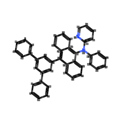 c1ccc(-c2cc(-c3ccccc3)cc(-c3c4ccccc4c(N(c4ccccc4)c4ccccn4)c4ccccc34)c2)cc1